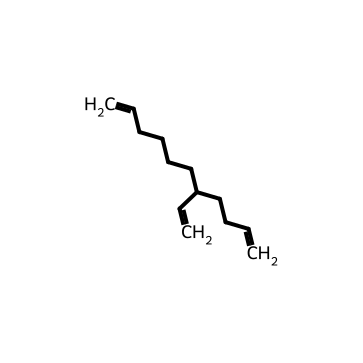 C=CCCCCC(C=C)CCC=C